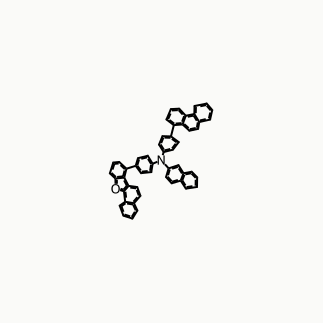 c1ccc2cc(N(c3ccc(-c4cccc5c4ccc4ccccc45)cc3)c3ccc(-c4cccc5oc6c7ccccc7ccc6c45)cc3)ccc2c1